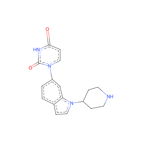 O=c1ccn(-c2ccc3ccn(C4CCNCC4)c3c2)c(=O)[nH]1